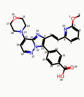 COc1cccc(C=Cc2nc3c(N4CCOCC4)ccnn3c2-c2ccc(C(=O)O)cc2)n1